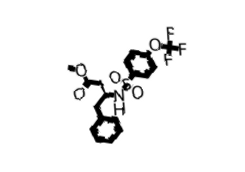 COC(=O)C[C@H](Cc1ccccc1)NS(=O)(=O)c1ccc(OC(F)(F)F)cc1